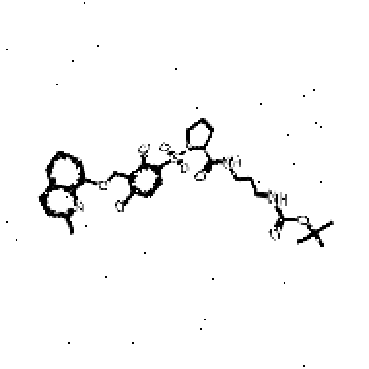 Cc1ccc2cccc(OCc3c(Cl)ccc(S(=O)(=O)N4CCC[C@H]4C(=O)NCCCNC(=O)OC(C)(C)C)c3Cl)c2n1